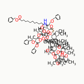 CCC1O[C@@H](OC2[C@H](O[C@H]3CCC4(C)C5CC=C6C7CC(C)(C)CC[C@]7(CS[C@@H]7OC(COCc8ccccc8)[C@H](NC(=O)CCCCCCCCCCC(=O)OCc8ccccc8)C(C)C7O[C@@H]7OC(C)[C@H](O[C@@H]8OC[C@@H](OCc9ccccc9)C(OCc9ccccc9)C8C)C8OC(C)(C)OC87)C(OC)C[C@@]6(C)[C@@]5(C)CC[C@H]4[C@@]3(C)C=O)OC(C(C)=O)[C@@H](C)[C@@H]2O[C@@H]2OC[C@@H](C)[C@@H](C)C2C)C(O[Si](CC)(CC)CC)[C@@H](C)[C@@H]1C